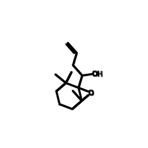 C=CCC(O)C12OC1(C)CCCC2(C)C